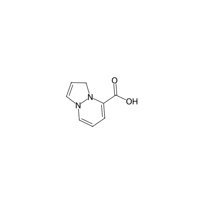 O=C(O)C1=CC=CN2C=CCN12